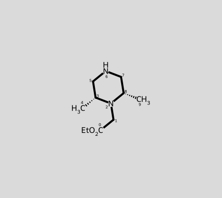 CCOC(=O)CN1[C@H](C)CNC[C@@H]1C